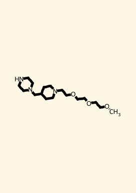 COCCOCCOCCN1CCC(CN2CCNCC2)CC1